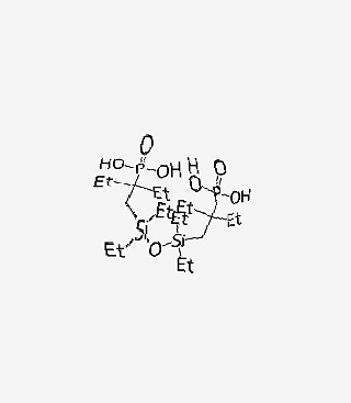 CCC(CC)(C[Si](CC)(CC)O[Si](CC)(CC)CC(CC)(CC)P(=O)(O)O)P(=O)(O)O